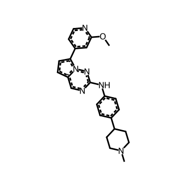 COc1cc(-c2ccc3cnc(Nc4ccc(C5CCN(C)CC5)cc4)nn23)ccn1